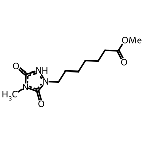 COC(=O)CCCCCCn1[nH]c(=O)n(C)c1=O